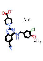 COc1ccc(CNc2nc(N3CCC(C(=O)[O-])CC3)nc3ccc(C#N)cc23)cc1Cl.[Na+]